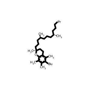 CCC(C)c1c(C)c(C)c2c(c1C)CC[C@](C)(CCC[C@@H](C)CCC[C@@H](C)CCCC(C)C)O2